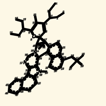 CCC(CC)C1=CC2(OC(C(CC)CC)=C1C)C1(C)c3ccc4c(CC(C)(C)C)cccc4c3-c3c4c(nc[n+]3C21C)c1c2ccccc2ccc1n4C